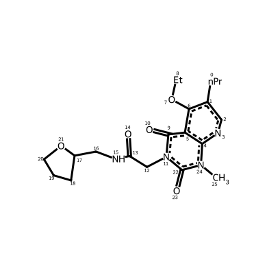 CCCc1cnc2c(c1OCC)c(=O)n(CC(=O)NCC1CCCO1)c(=O)n2C